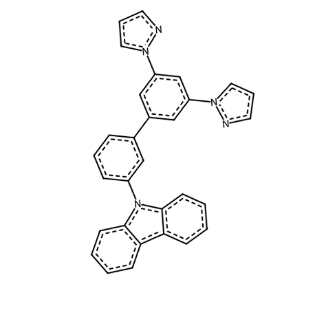 c1cc(-c2cc(-n3cccn3)cc(-n3cccn3)c2)cc(-n2c3ccccc3c3ccccc32)c1